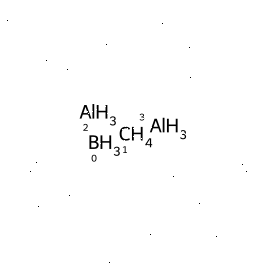 B.C.[AlH3].[AlH3]